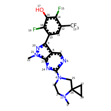 CN1CCN(c2ncc3c(-c4cc(C(F)(F)F)c(F)c(O)c4F)nn(C)c3n2)CC12CC2